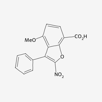 COc1ccc(C(=O)O)c2oc([N+](=O)[O-])c(-c3ccccc3)c12